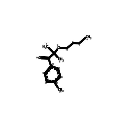 CCCCOC(C)(C)C(=O)c1ccc(C)cc1